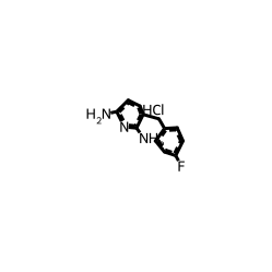 Cl.Nc1ccc(Cc2ccc(F)cc2)c(N)n1